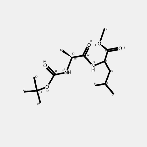 COC(=O)C(CC(C)C)NC(=O)[C@H](C)NC(=O)OC(C)(C)C